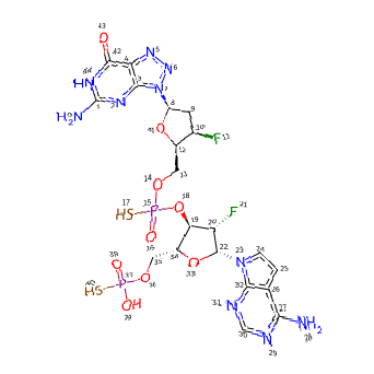 Nc1nc2c(nnn2[C@H]2C[C@@H](F)[C@@H](COP(=O)(S)O[C@H]3[C@H](F)[C@H](n4ccc5c(N)ncnc54)O[C@@H]3COP(=O)(O)S)O2)c(=O)[nH]1